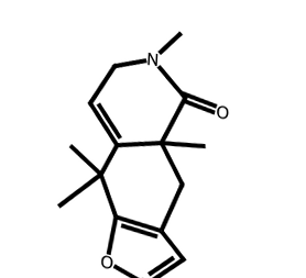 CN1CC=C2C(C)(Cc3cnoc3C2(C)C)C1=O